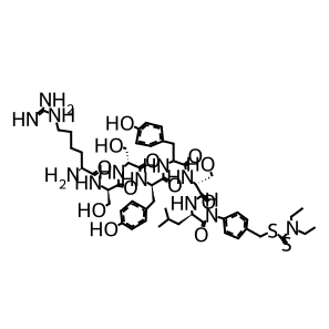 CCN(CC)C(=S)SCc1ccc(NC(=O)[C@@H](CC(C)C)NC(=O)[C@@H](CO)NC(=O)C(Cc2ccc(O)cc2)NC(=O)[C@@H](Cc2ccc(O)cc2)NC(=O)[C@@H](CO)NC(=O)[C@@H](CO)NC(=O)[C@H](N)CCCCNC(=N)N)cc1